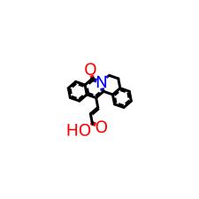 O=C(O)/C=C/c1c2n(c(=O)c3ccccc13)CCc1ccccc1-2